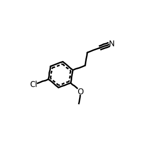 COc1cc(Cl)ccc1CCC#N